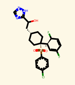 O=S(=O)(c1ccc(Cl)cc1)[C@]1([C@@H]2C=C(F)C=CC2F)CC[C@H](CC(O)c2ncn[nH]2)CC1